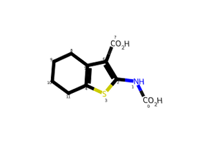 O=C(O)Nc1sc2c(c1C(=O)O)CCCC2